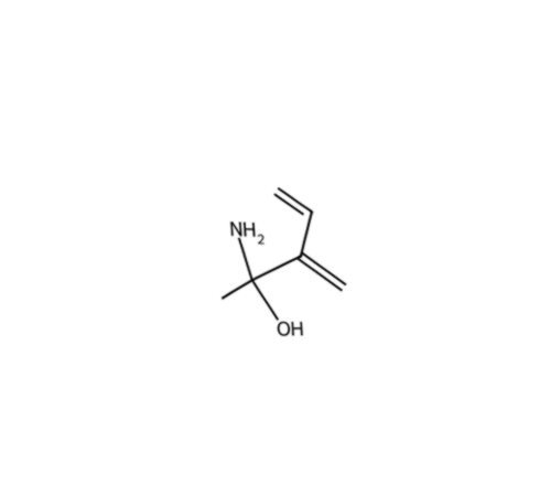 C=CC(=C)C(C)(N)O